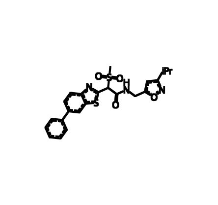 CC(C)c1cc(CNC(=O)C(c2nc3ccc(-c4ccccc4)cc3s2)S(C)(=O)=O)on1